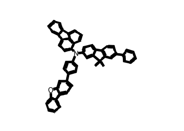 CC1(C)c2cc(-c3ccccc3)ccc2-c2ccc(N(c3ccc(-c4ccc5c(c4)oc4ccccc45)cc3)c3ccc4c5c(cccc35)-c3ccccc3-4)cc21